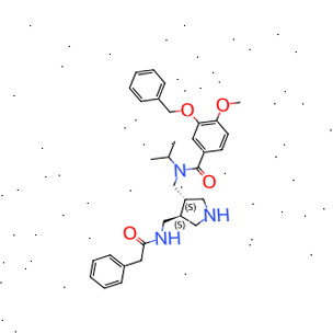 COc1ccc(C(=O)N(C[C@@H]2CNC[C@H]2CNC(=O)Cc2ccccc2)C(C)C)cc1OCc1ccccc1